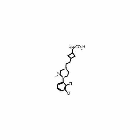 C[C@@H]1CN(CCC2CC(NC(=O)O)C2)CCN1c1cccc(Cl)c1Cl